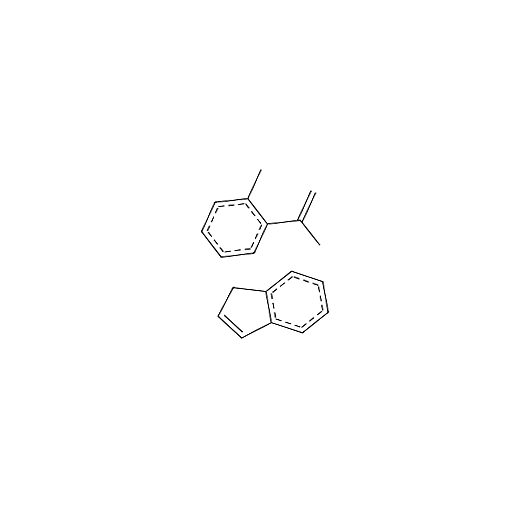 C1=Cc2ccccc2C1.C=C(C)c1ccccc1C